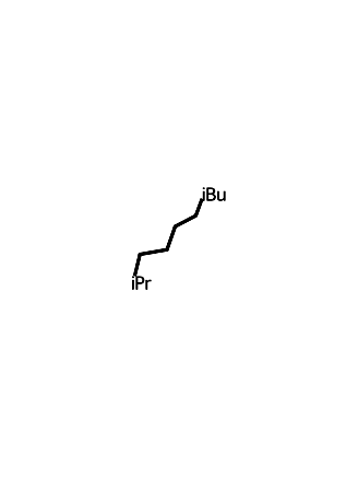 [CH2]C(C)CCCCC(C)CC